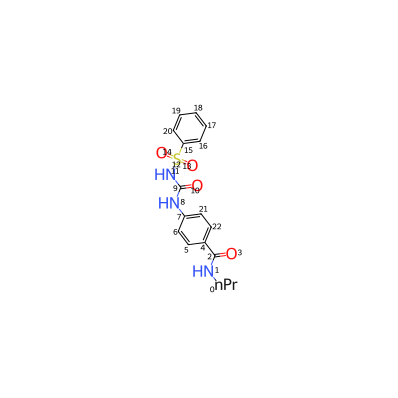 CCCNC(=O)c1ccc(NC(=O)NS(=O)(=O)c2ccccc2)cc1